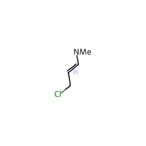 CN/C=C/CCl